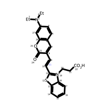 CCN(CC)c1ccc2cc(/C=C/c3sc4ccccc4[n+]3CCC(=O)O)c(=O)oc2c1